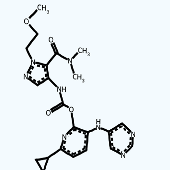 COCCn1ncc(NC(=O)Oc2nc(C3CC3)ccc2Nc2cncnc2)c1C(=O)N(C)C